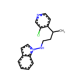 CC(CCNn1ccc2ccccc21)c1ccncc1Cl